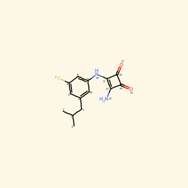 CC(C)Cc1cc(F)cc(Nc2c(N)c(=O)c2=O)c1